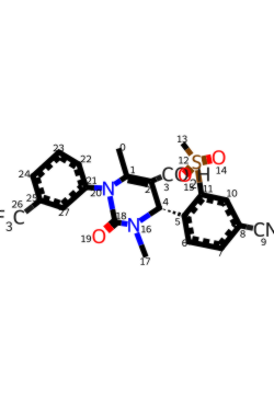 CC1=C(C(=O)O)[C@H](c2ccc(C#N)cc2S(C)(=O)=O)N(C)C(=O)N1c1cccc(C(F)(F)F)c1